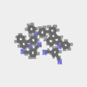 N#Cc1cc(C#N)cc(-n2c3ccccc3c3cc4c5c(cccc5c32)-c2c(-c3ccc(N(c5ccccc5)c5ccc6c(c5)c5c7ccccc7ccc5n6-c5c(C#N)cccc5C#N)cc3)cccc2-4)c1